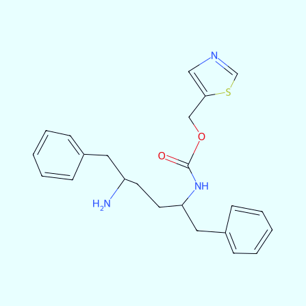 NC(CCC(Cc1ccccc1)NC(=O)OCc1cncs1)Cc1ccccc1